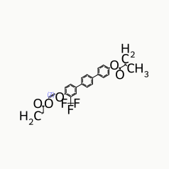 C=CC(=O)O/C=C\Oc1ccc(-c2ccc(-c3ccc(OC(=O)C(=C)C)cc3)cc2)cc1C(F)(F)F